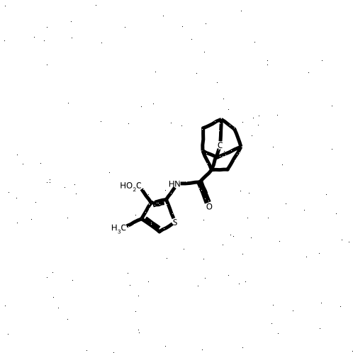 Cc1csc(NC(=O)C23CC4CC(CC2C4)C3)c1C(=O)O